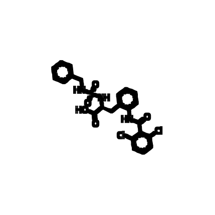 O=C(Nc1ccccc1C[C@H](NS(=O)(=O)NCc1ccccc1)C(=O)O)c1c(Cl)cccc1Cl